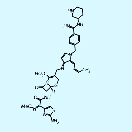 C\C=C/C=C1\C(=N\CC2=C(C(=O)O)N3C(=O)[C@@H](NC(=O)/C(=N\OC)c4csc(N)n4)[C@H]3SC2)C=CN1Cc1ccc(C(=N)NC2CCCNC2)cc1